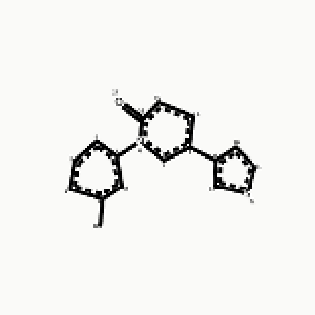 Cc1cccc(-n2cc(-c3ccsc3)ccc2=O)c1